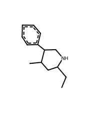 CCC1CC(C)C(c2ccccc2)CN1